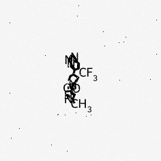 Cc1cc(S(=O)(=O)N2CCC(c3cn4ncnc4cc3C(F)(F)F)CC2)sn1